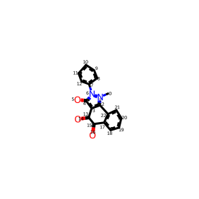 Cn1c2c(c(=O)n1-c1ccccc1)C(=O)C(=O)c1ccccc1-2